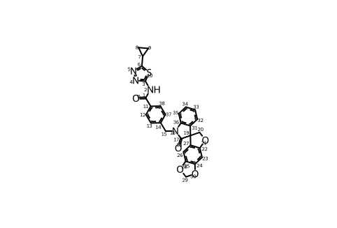 O=C(Nc1nnc(C2CC2)s1)c1ccc(CN2C(=O)C3(COc4cc5c(cc43)OCO5)c3ccccc32)cc1